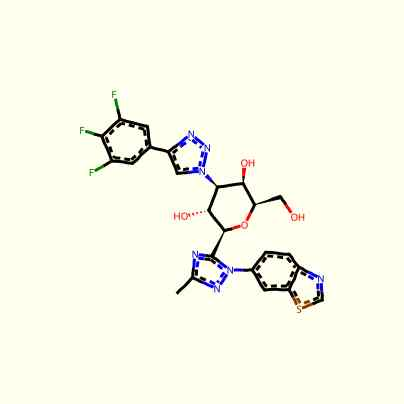 Cc1nc([C@@H]2O[C@H](CO)[C@H](O)[C@H](n3cc(-c4cc(F)c(F)c(F)c4)nn3)[C@H]2O)n(-c2ccc3ncsc3c2)n1